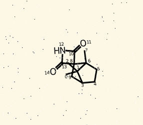 CC1(C)C2CCC1(C)C1(C2)C(=O)NC1=O